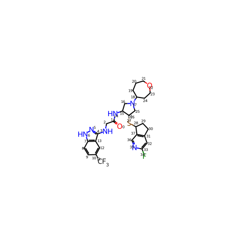 O=C(CNc1n[nH]c2ccc(C(F)(F)F)cc12)NC1CN(C2CCCOCC2)C[C@@H]1SC1CCc2cc(F)ncc21